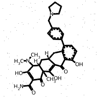 CN(C)C1C(O)=C(C(N)=O)C(=O)C2(C)C(O)=C3C(=O)c4c(O)ccc(-c5ccc(CN6CCCC6)cc5)c4C[C@H]3C[C@@H]12